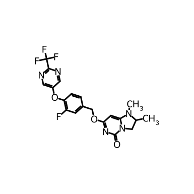 CC1Cn2c(cc(OCc3ccc(Oc4cnc(C(F)(F)F)nc4)c(F)c3)nc2=O)N1C